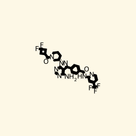 Nc1ncnc2c1c(-c1ccc(C(=O)Nc3cc(C(F)(F)F)ccn3)cc1)nn2[C@@H]1CCCN(C(=O)C2CC(F)(F)C2)C1